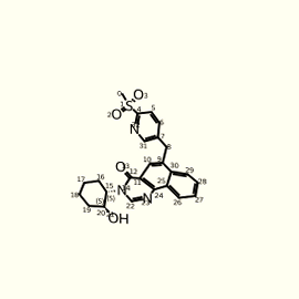 CS(=O)(=O)c1ccc(Cc2cc3c(=O)n([C@H]4CCCC[C@@H]4O)cnc3c3ccccc23)cn1